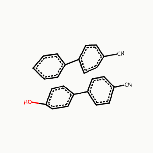 N#Cc1ccc(-c2ccc(O)cc2)cc1.N#Cc1ccc(-c2ccccc2)cc1